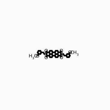 COc1cccc(CCN2C(=O)c3ccc4c5ccc6c7c(ccc(c8ccc(c3c48)C2=O)c75)C(=O)N(CCc2cccc(OC)c2)C6=O)c1